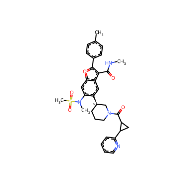 CNC(=O)c1c(-c2ccc(C)cc2)oc2cc(N(C)S(C)(=O)=O)c([C@@H]3CCCN(C(=O)C4CC4c4ccccn4)C3)cc12